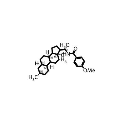 COc1ccc(C(=O)N[C@@H](C)C2CCC3[C@@H]4CC[C@@H]5C[C@@H](C)CC[C@@H]5C4CC[C@@]32C)cc1